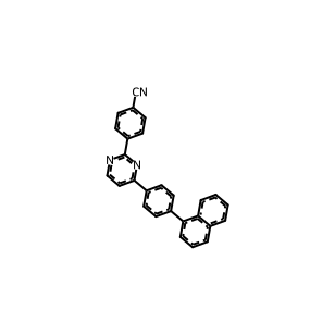 N#Cc1ccc(-c2nccc(-c3ccc(-c4cccc5ccccc45)cc3)n2)cc1